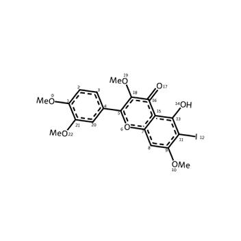 COc1ccc(-c2oc3cc(OC)c(I)c(O)c3c(=O)c2OC)cc1OC